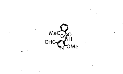 COc1ccccc1S(=O)(=O)Nc1cc(C=O)cnc1OC